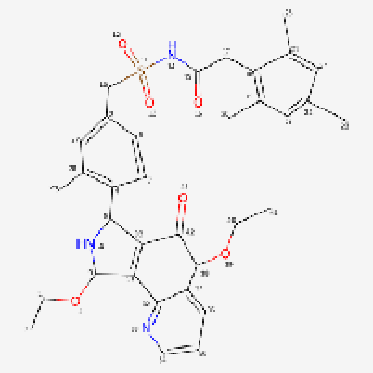 CCOC1NC(c2ccc(CS(=O)(=O)NC(=O)Cc3c(C)cc(C)cc3C)cc2C)C2=C1c1ncccc1C(OCC)C2=O